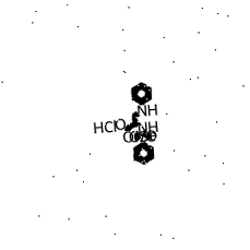 COC(=O)C(CNc1ccccc1)NS(=O)(=O)c1ccccc1.Cl